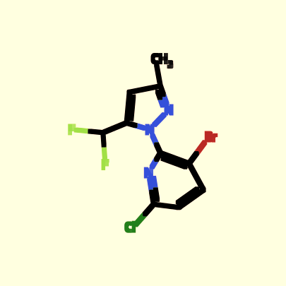 Cc1cc(C(F)F)n(-c2nc(Cl)ccc2Br)n1